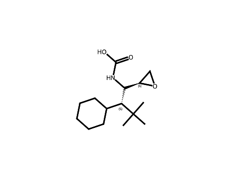 CC(C)(C)[C@H](C1CCCCC1)C(NC(=O)O)[C@H]1CO1